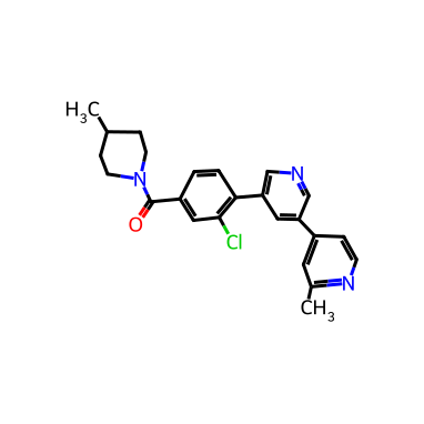 Cc1cc(-c2cncc(-c3ccc(C(=O)N4CCC(C)CC4)cc3Cl)c2)ccn1